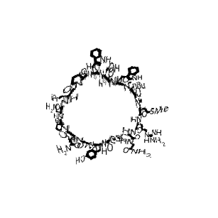 CCCC[C@H]1C(=O)N(C)[C@@H](CCSC)C(=O)N[C@@H](CCCNC(=N)N)C(=O)NC(C(=O)NCC(N)=O)CSCC(=O)N[C@@H](Cc2ccc(O)cc2)C(=O)N(C)[C@@H](C)C(=O)N[C@@H](CC(N)=O)C(=O)N2CCC[C@H]2C(=O)N[C@@H](CN)C(=O)N[C@@H](CC(C)C)C(=O)N2CCC[C@H]2C(=O)N[C@@H](Cc2c[nH]c3ccccc23)C(=O)N[C@@H](CO)C(=O)N[C@@H](Cc2c[nH]c3ccccc23)C(=O)N1C